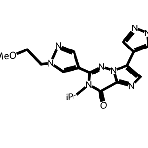 COCCn1cc(-c2nn3c(-c4cn[nH]c4)cnc3c(=O)n2C(C)C)cn1